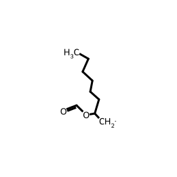 [CH2]C(CCCCCC)OC=O